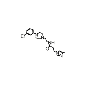 Cc1cn(CCC(=O)NCCN2CCN(c3cccc(Cl)c3)CC2)cn1